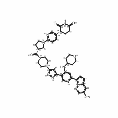 N#Cc1cnn2c(-c3cc(NC4CCOCC4)c(-c4nnc(N5CCN(C(=O)[C@@H]6CCN(c7ccc([C@H]8CCC(=O)NC8=O)cn7)C6)CC5)s4)cn3)ccc2c1